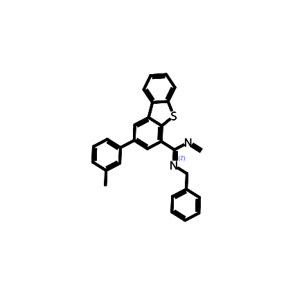 C=N/C(=N\Cc1ccccc1)c1cc(-c2cccc(C)c2)cc2c1sc1ccccc12